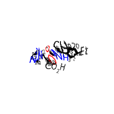 CCc1ccc([C@H](C)NC(=O)O[C@H](Cn2cncn2)C(=O)O)cc1